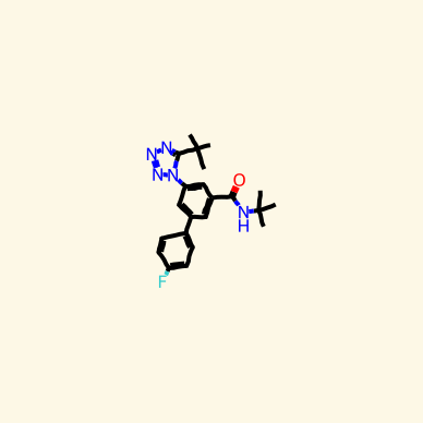 CC(C)(C)NC(=O)c1cc(-c2ccc(F)cc2)cc(-n2nnnc2C(C)(C)C)c1